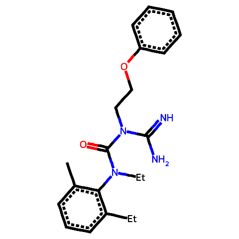 CCc1cccc(C)c1N(CC)C(=O)N(CCOc1ccccc1)C(=N)N